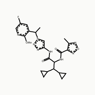 COc1ncc(F)cc1C(C)n1cc(NC(=O)C(NC(=O)c2nonc2C)C(C2CC2)C2CC2)nn1